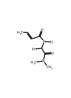 CC=CC(=O)N(CC)C(CC)C(=O)N(C)C